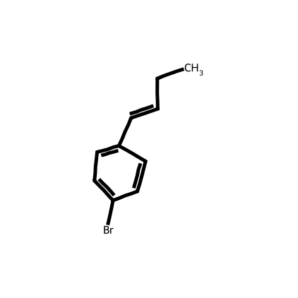 CCC=Cc1ccc(Br)cc1